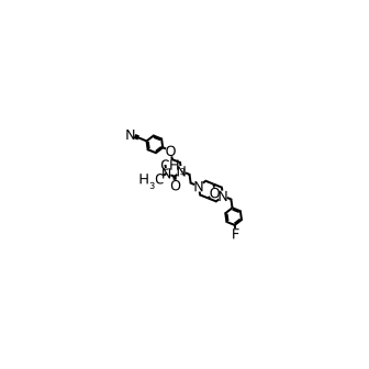 CN(C)C(=O)N(CCOc1ccc(C#N)cc1)CCN1CC2CN(Cc3ccc(F)cc3)CC(C1)O2